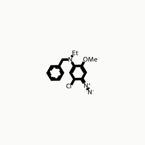 CCN(Cc1ccccc1)C1=CC(Cl)C(=[N+]=[N-])C=C1OC